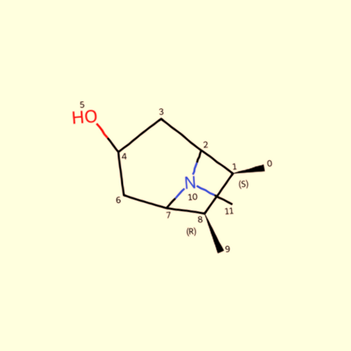 C[C@@H]1C2CC(O)CC([C@@H]1C)N2C